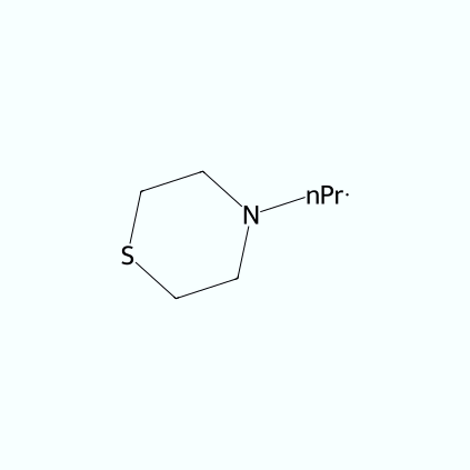 CC[CH]N1CCSCC1